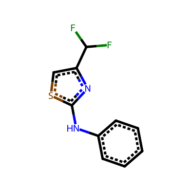 FC(F)c1csc(Nc2ccccc2)n1